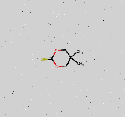 CC1(C)COC(=S)OC1